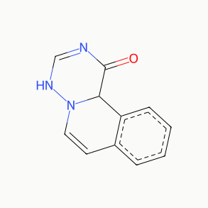 O=C1N=CNN2C=Cc3ccccc3C12